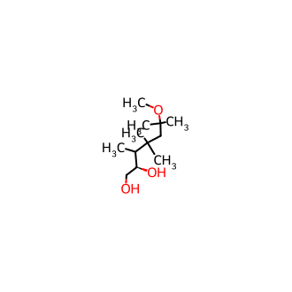 COC(C)(C)CC(C)(C)C(C)[C@@H](O)CO